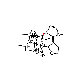 CN1C=CN(C)C1=C1CCOC1[N+]([SiH](C)C)([SiH](C)C)[N+]([N+]([SiH](C)C)[SiH](C)C)([SiH](C)C)[SiH](C)C